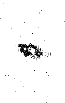 CN1C(=O)[C@@H](Cc2ccc(O)cc2)NC(=O)CNC(=O)[C@H](Cc2ccc3ccccc3c2)NC(=O)[C@H](CCCNC(=N)N)NC(=O)[C@H]1CCCNC(=O)c1ccc(NC(=O)CCNC(=O)CN2CCN(CC(=O)O)CCN(CC(=O)O)CCN(CC(=O)O)CC2)cc1